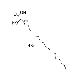 Br.CCCCCCCCCCCCCCCCCCNC(O)C(O)O